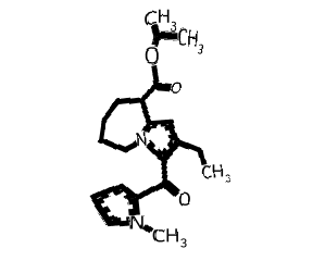 CCc1cc2n(c1C(=O)c1cccn1C)CCCCC2C(=O)OC(C)C